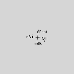 CCCCCC(O)(CCCC)CCCC